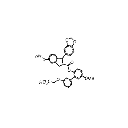 CCCOc1ccc2c(c1)CC(C(=O)Oc1ccc(OC)cc1-c1cccc(OCC(=O)O)c1)C2c1ccc2c(c1)OCO2